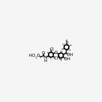 Cc1cc(NC(=O)CC(=O)O)cc(Cl)c1Oc1ccc(O)c(C(O)c2ccc(F)cc2)c1